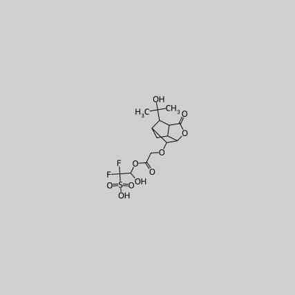 CC(C)(O)C1C2CC3C(OC(=O)C31)C2OCC(=O)OC(O)C(F)(F)S(=O)(=O)O